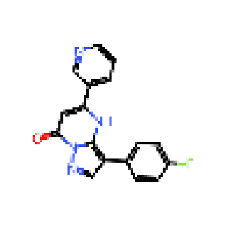 O=c1cc(-c2cccnc2)[nH]c2c(-c3ccc(F)cc3)cnn12